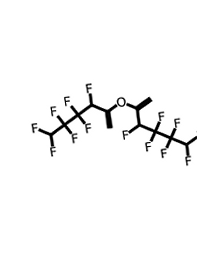 C=C(OC(=C)C(F)C(F)(F)C(F)(F)C(F)F)C(F)C(F)(F)C(F)(F)C(F)F